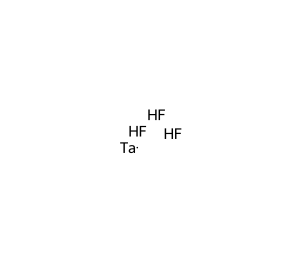 F.F.F.[Ta]